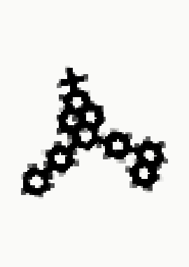 CC(C)(C)c1cc2ccc3c4c(ccc(c1)c24)=C(c1ccc(C2C=NC=CC2)cc1)CC3c1ccc(-c2cccc3ccccc23)cc1